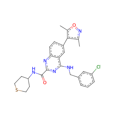 Cc1noc(C)c1-c1ccc2nc(C(=O)NC3CCSCC3)nc(NCc3cccc(Cl)c3)c2c1